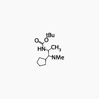 CNC(C1CCCC1)C(C)NC(=O)OC(C)(C)C